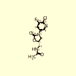 CC(=O)NC[C@H]1CN(c2cnc(Cl)c(F)c2)C(=O)O1